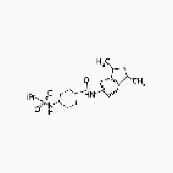 CC1CC(C)c2cc(NC(=O)C3CCC(NS(=O)(=O)C(C)C)CC3)ccc21